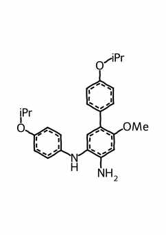 COc1cc(N)c(Nc2ccc(OC(C)C)cc2)cc1-c1ccc(OC(C)C)cc1